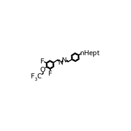 CCCCCCCc1ccc(C=NN=Cc2cc(F)c(OCC(F)(F)F)c(F)c2)cc1